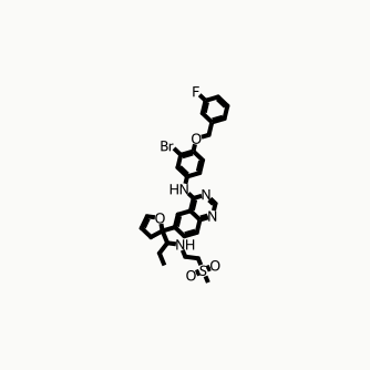 CCC(NCCS(C)(=O)=O)C1(c2ccc3ncnc(Nc4ccc(OCc5cccc(F)c5)c(Br)c4)c3c2)CC=CO1